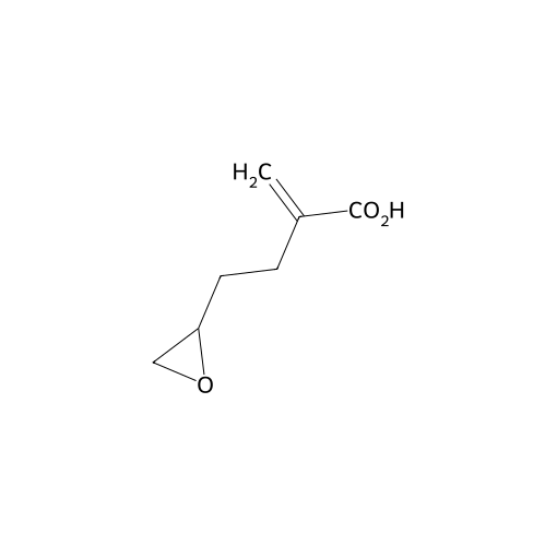 C=C(CCC1CO1)C(=O)O